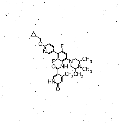 CC1CN(c2cc(F)c(-c3ccc(OCC4CC4)nc3)c(F)c2NC(=O)c2c[nH]c(=O)cc2C(F)(F)F)CC(C)N1C